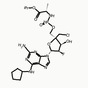 CC(C)OC(=O)[C@H](C)N[PH](=O)OC[C@@]1(CCl)O[C@@H](n2cnc3c(NC4CCCC4)nc(N)nc32)[C@H](F)[C@@H]1O